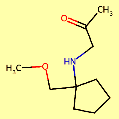 COCC1(NCC(C)=O)CCCC1